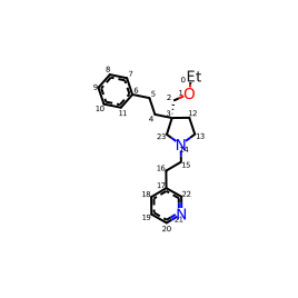 CCOC[C@]1(CCc2ccccc2)CCN(CCc2cccnc2)C1